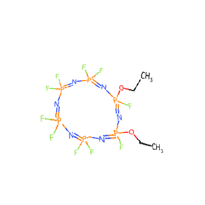 CCOP1(F)=NP(F)(F)=NP(F)(F)=NP(F)(F)=NP(F)(F)=NP(F)(OCC)=N1